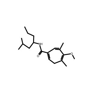 CCCC(CC(C)C)NC(=O)C1=CCC(C)=C(OC)C(C)=C1